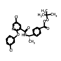 C[C@H](NC(=O)c1cc(Cl)cnc1Oc1cccc(Cl)c1)c1ccc(C(=O)OOC(C)(C)C)cc1